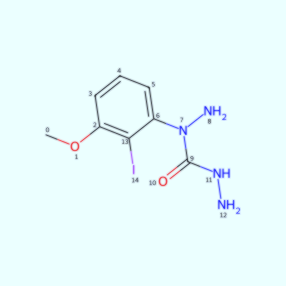 COc1cccc(N(N)C(=O)NN)c1I